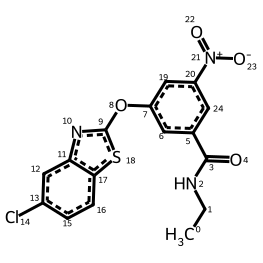 CCNC(=O)c1cc(Oc2nc3cc(Cl)ccc3s2)cc([N+](=O)[O-])c1